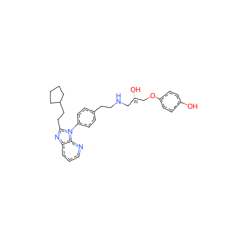 Oc1ccc(OC[C@@H](O)CNCCc2ccc(-n3c(CCC4CCCC4)nc4cccnc43)cc2)cc1